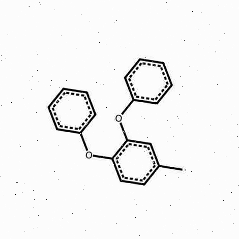 [CH2]c1ccc(Oc2ccccc2)c(Oc2ccccc2)c1